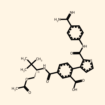 CC(=O)OC[C@@H](NC(=O)c1ccc(-c2ccsc2C(=O)Nc2ccc(C(=N)N)cc2)c(C(=O)O)c1)C(C)(C)C